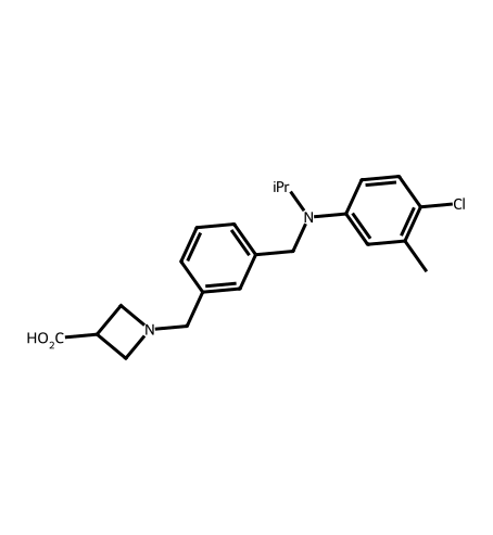 Cc1cc(N(Cc2cccc(CN3CC(C(=O)O)C3)c2)C(C)C)ccc1Cl